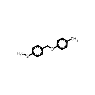 CSc1ccc(COc2ccc(C)cc2)cc1